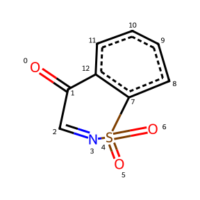 O=C1C=NS(=O)(=O)c2ccccc21